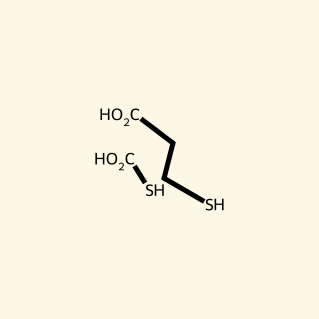 O=C(O)CCS.O=C(O)S